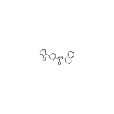 O=C(NC1CCCc2ccccc21)c1ccc(-c2ncccc2Cl)cc1